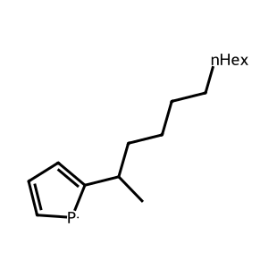 CCCCCCCCCCC(C)C1=CC=C[P]1